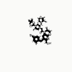 C[C@@H]1CN(CC(=O)N2c3cc(Cc4ccc(F)cc4F)c(CO)nc3OC[C@@H]2C)[C@@H](CN2[C@H](C)COC[C@H]2C)CN1C(=O)OC(C)(C)C